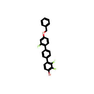 Fc1cc(OCc2ccccc2)ccc1-c1ccc(-c2ccc(Br)c(F)c2F)cc1